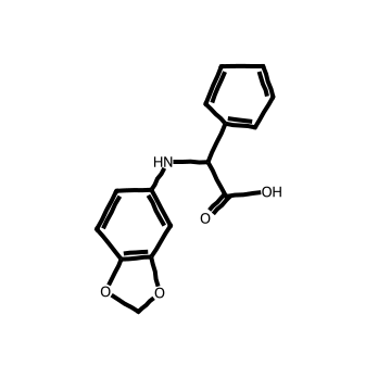 O=C(O)C(Nc1ccc2c(c1)OCO2)c1ccccc1